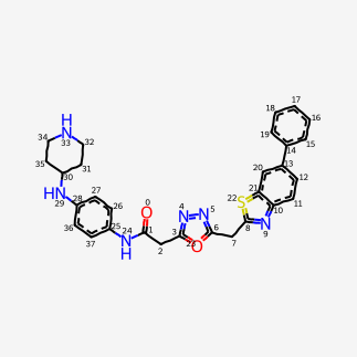 O=C(Cc1nnc(Cc2nc3ccc(-c4ccccc4)cc3s2)o1)Nc1ccc(NC2CCNCC2)cc1